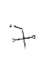 CC(C)SC(Cl)(Cl)Cl